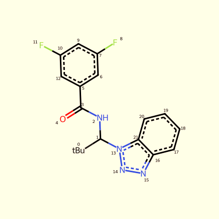 CC(C)(C)C(NC(=O)c1cc(F)cc(F)c1)n1nnc2ccccc21